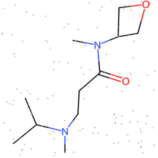 CC(C)N(C)CCC(=O)N(C)C1COC1